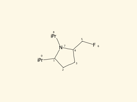 CC(C)C1CCC(CF)N1C(C)C